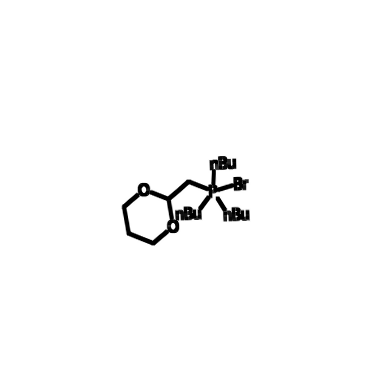 CCCCP(Br)(CCCC)(CCCC)CC1OCCCO1